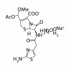 COC(OC(C)=O)C1=C(C(=O)[O-])N2C(=O)[C@@H](NC(=O)Cc3csc(N)n3)[C@H]2SC1.O.O.O.[Na+]